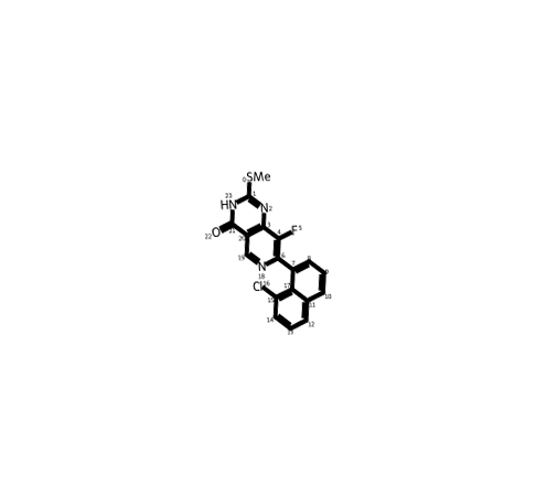 CSc1nc2c(F)c(-c3cccc4cccc(Cl)c34)ncc2c(=O)[nH]1